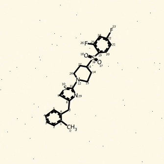 Cc1ccccc1Cc1csc(N2CCC(S(=O)(=O)c3ccc(F)cc3F)CC2)n1